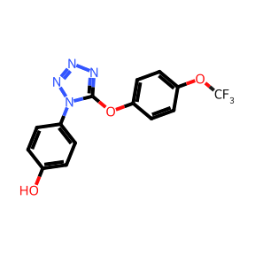 Oc1ccc(-n2nnnc2Oc2ccc(OC(F)(F)F)cc2)cc1